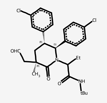 CCC(C(=O)NC(C)(C)C)N1C(=O)[C@@](C)(CC=O)C[C@H](c2cccc(Cl)c2)[C@H]1c1ccc(Cl)cc1